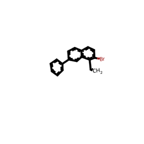 C=Cc1c(Br)ccc2ccc(-c3ccccc3)cc12